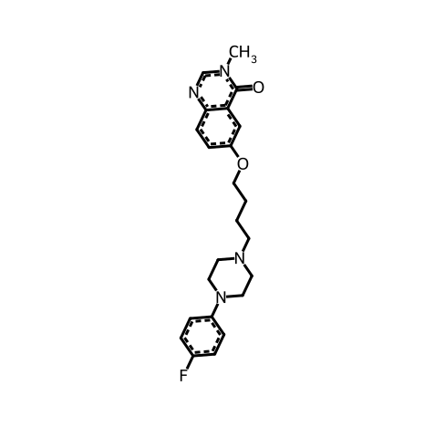 Cn1cnc2ccc(OCCCCN3CCN(c4ccc(F)cc4)CC3)cc2c1=O